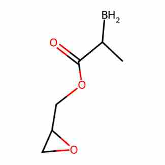 BC(C)C(=O)OCC1CO1